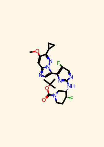 COc1cc2ncc(-c3nc(N[C@H]4CN(C(=O)OC(C)(C)C)CC[C@@H]4F)ncc3F)n2nc1C1CC1